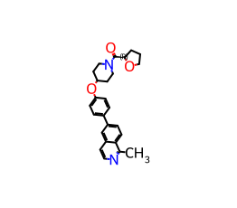 Cc1nccc2cc(-c3ccc(OC4CCN(C(=O)[C@H]5CCCO5)CC4)cc3)ccc12